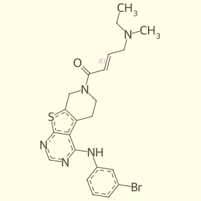 CCN(C)C/C=C/C(=O)N1CCc2c(sc3ncnc(Nc4cccc(Br)c4)c23)C1